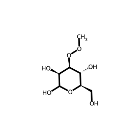 COO[C@H]1[C@H](O)[C@@H](CO)OC(O)[C@H]1O